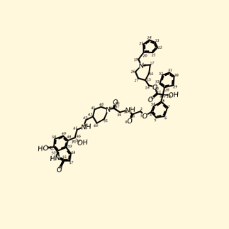 O=C(COc1cccc([C@](O)(C(=O)OCC2CCN(Cc3ccccc3)CC2)c2ccccc2)c1)NCC(=O)N1CCC(CNC[C@H](O)c2ccc(O)c3[nH]c(=O)ccc23)CC1